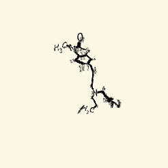 CCCN(CC#N)CCc1ccc2c(c1)sc(=O)n2C